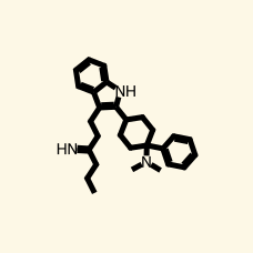 CCCC(=N)CCc1c(C2CCC(c3ccccc3)(N(C)C)CC2)[nH]c2ccccc12